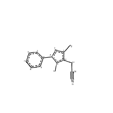 Cc1nn(-c2ccccc2)c(C)c1CC#N